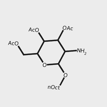 CCCCCCCCOC1OC(COC(C)=O)C(OC(C)=O)C(OC(C)=O)C1N